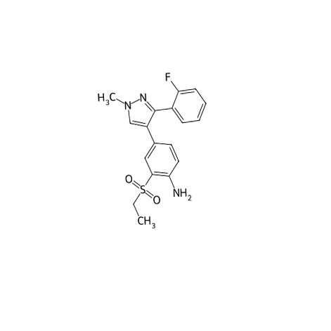 CCS(=O)(=O)c1cc(-c2cn(C)nc2-c2ccccc2F)ccc1N